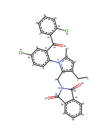 CCc1cc(C)n(-c2ccc(Cl)cc2C(=O)c2ccccc2Cl)c1CN1C(=O)c2ccccc2C1=O